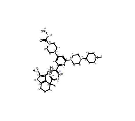 CN1CCC(N2CCN(c3cc(N4CCN(C(=O)OC(C)(C)C)CC4)cc(/C(N)=N/OC(=O)C4(C)CCCc5sc(N)c(C#N)c54)n3)CC2)CC1